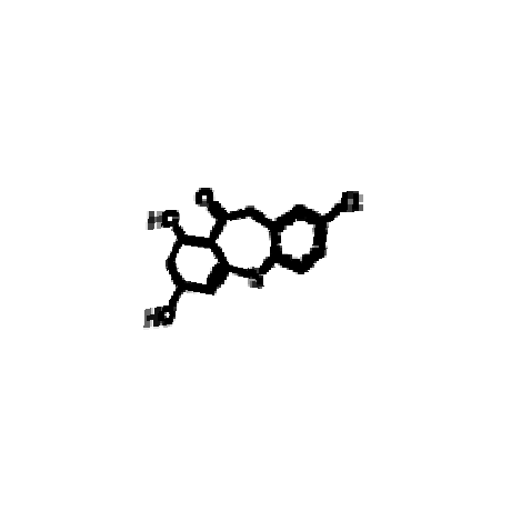 CCc1ccc2c(c1)CC(=O)C1=C(O)CC(O)C=C1S2